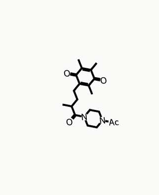 CC(=O)N1CCN(C(=O)C(C)CCC2=C(C)C(=O)C(C)=C(C)C2=O)CC1